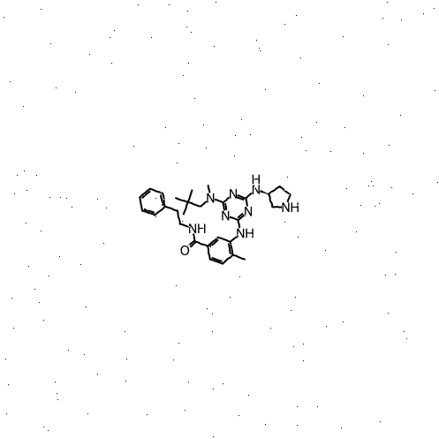 Cc1ccc(C(=O)NCCc2ccccc2)cc1Nc1nc(N[C@H]2CCNC2)nc(N(C)CC(C)(C)C)n1